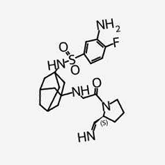 N=C[C@@H]1CCCN1C(=O)CNC12CC3CC(C1)CC(NS(=O)(=O)c1ccc(F)c(N)c1)(C3)C2